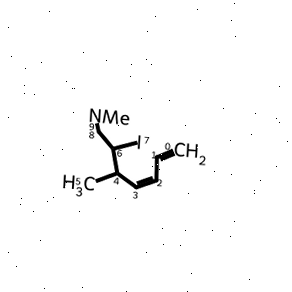 C=C/C=C\C(C)C(I)CNC